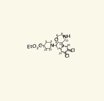 CCOC(=O)C1CCN(C[C@H]2OCCNC[C@H]2c2ccc(Cl)c(Cl)c2)CC1